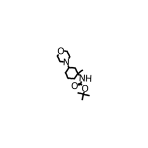 CC1(NC(=O)OC(C)(C)C)CCCC(N2CCOCC2)C1